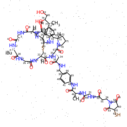 CC[C@H](C)[C@@H]1NC(=O)CNC(=O)[C@H]2Cc3c([nH]c4ccccc34)SC[C@H](NC(=O)CNC1=O)C(=O)N[C@@H](CC(=O)NCc1ccc(NC(=O)[C@H](C)NC(=O)CNC(=O)CCN3C(=O)CC(S)C3=O)cc1)C(=O)N1CCC[C@H]1CC[C@@H]([C@@H](C)[C@@H](O)CO)C(=O)N2